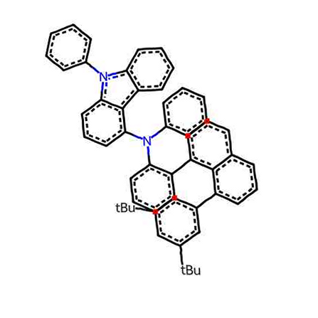 CC(C)(C)c1cc(-c2cccc3cccc(-c4ccccc4N(c4ccccc4)c4cccc5c4c4ccccc4n5-c4ccccc4)c23)cc(C(C)(C)C)c1